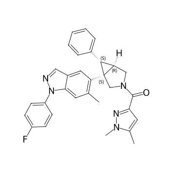 Cc1cc2c(cnn2-c2ccc(F)cc2)cc1[C@@]12CN(C(=O)c3cc(C)n(C)n3)C[C@@H]1[C@H]2c1ccccc1